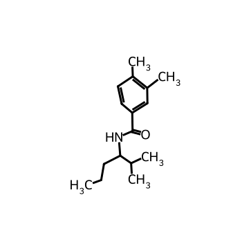 CCCC(NC(=O)c1ccc(C)c(C)c1)C(C)C